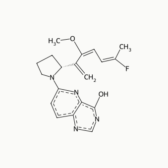 C=C(/C(=C\C=C(/C)F)OC)[C@H]1CCCN1c1ccc2ncnc(O)c2n1